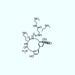 Cl.Cl.Cl.Cl.NCCC[C@@H](CC(=O)NCCN)NC(=O)[C@@H]1Cc2cc(ccc2O)-c2ccc(O)c(c2)C[C@H](N)C(=O)N[C@@H](CCCN)C(=O)N1